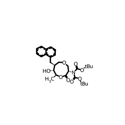 C[C@@H]1OC(=O)[C@@H](N(C(=O)OC(C)(C)C)C(=O)OC(C)(C)C)COC[C@H](Cc2cccc3ccccc23)[C@H]1O